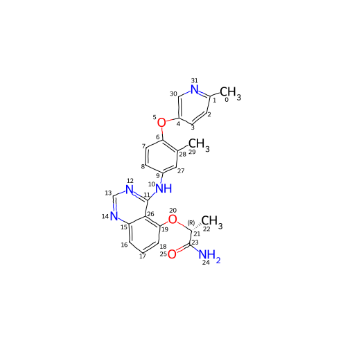 Cc1ccc(Oc2ccc(Nc3ncnc4cccc(O[C@H](C)C(N)=O)c34)cc2C)cn1